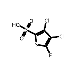 O=S(=O)(O)c1sc(F)c(Cl)c1Cl